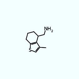 Cc1csc2c1C(CN)CCC2